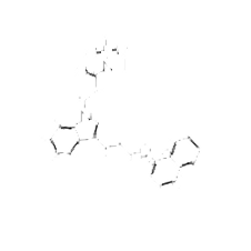 CS(=O)(=O)NC(=O)CCn1cc(CCCOc2cccc3ccccc23)c2ccccc21